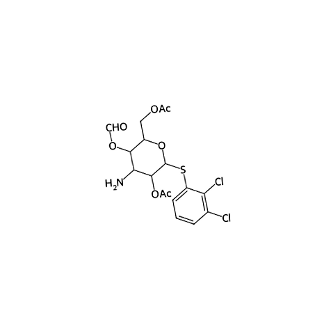 CC(=O)OCC1OC(Sc2cccc(Cl)c2Cl)C(OC(C)=O)C(N)C1OC=O